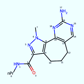 CCCNC(=O)c1nn(C)c2c1CCCc1cnc(N)nc1-2